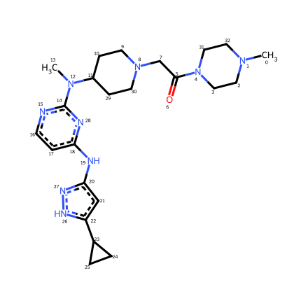 CN1CCN(C(=O)CN2CCC(N(C)c3nccc(Nc4cc(C5CC5)[nH]n4)n3)CC2)CC1